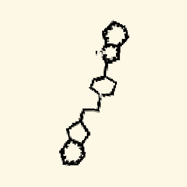 C1=C(c2cc3ccccc3[nH]2)CCN(CCC2Cc3ccccc3C2)C1